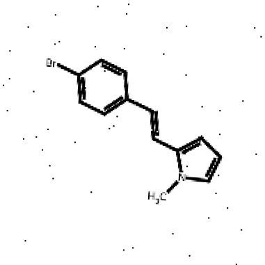 Cn1cccc1C=Cc1ccc(Br)cc1